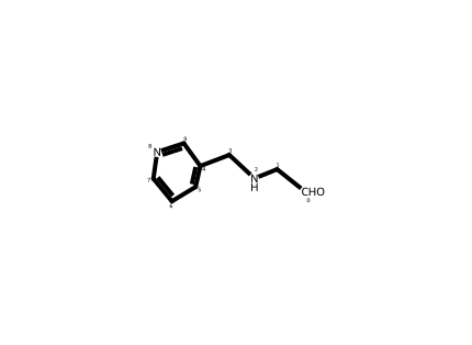 O=CCNCc1cccnc1